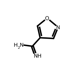 N=C(N)c1cnoc1